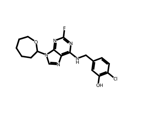 Oc1cc(CNc2nc(F)nc3c2ncn3C2CCCCCO2)ccc1Cl